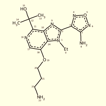 CCn1c(-c2nonc2N)nc2c(C(C)(C)O)ncc(OCCCN)c21